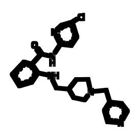 O=C(Nc1ccc(Cl)cn1)c1ccccc1NCC1CCN(Cc2ccncc2)CC1